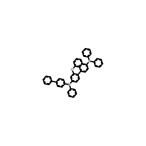 c1ccc(-c2ccc(N(c3ccccc3)c3ccc4c(c3)Oc3cccc5c(N(c6ccccc6)c6ccccc6)ccc-4c35)cc2)cc1